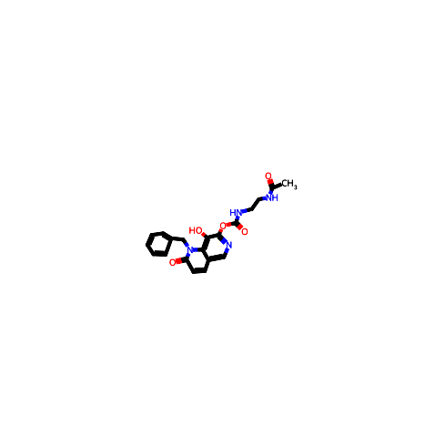 CC(=O)NCCNC(=O)Oc1ncc2ccc(=O)n(Cc3ccccc3)c2c1O